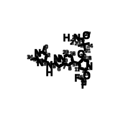 Cc1cc(Nc2cc3cc(-c4cc(OC(F)F)ncc4OCC(C)(C)C(N)=O)ccn3n2)nc(C)n1